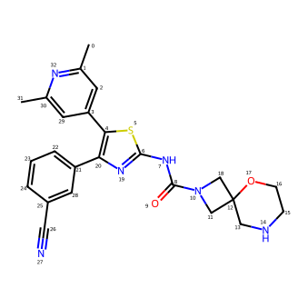 Cc1cc(-c2sc(NC(=O)N3CC4(CNCCO4)C3)nc2-c2cccc(C#N)c2)cc(C)n1